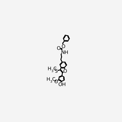 COc1cc(-c2oc3ccc(CCCNC(=O)OCc4ccccc4)cc3c2SC)ccc1O